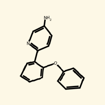 Nc1ccc(-c2ccccc2Oc2ccccc2)nc1